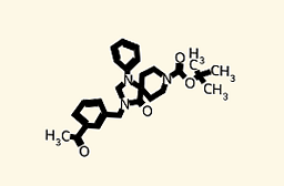 CC(=O)c1cccc(CN2CN(c3ccccc3)C3(CCN(C(=O)OC(C)(C)C)CC3)C2=O)c1